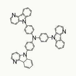 C1=CC2c3ncccc3N(c3ccc(N(c4ccc(-n5c6ccccc6c6ncccc65)cc4)c4ccc(-n5c6ccccc6c6ncccc65)cc4)cc3)C2C=C1